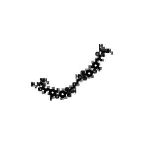 C/C(=C\c1cc(F)c(Oc2ccc(S(=O)(=O)NCCCOCCNS(=O)(=O)c3ccc(Oc4c(F)cc(/C=C(\C)C(=O)N=C(N)N)cc4F)cc3)cc2)c(F)c1)C(=O)N=C(N)N